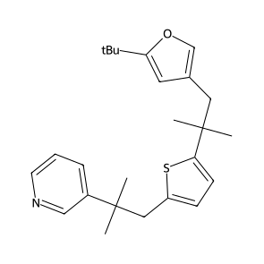 CC(C)(C)c1cc(CC(C)(C)c2ccc(CC(C)(C)c3cccnc3)s2)co1